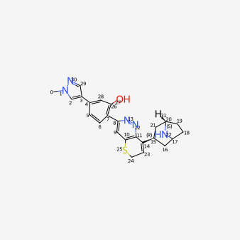 Cn1cc(-c2ccc(-c3cc4c(nn3)C([C@@H]3CC5CC[C@@H](C3)N5)=CCS4)c(O)c2)cn1